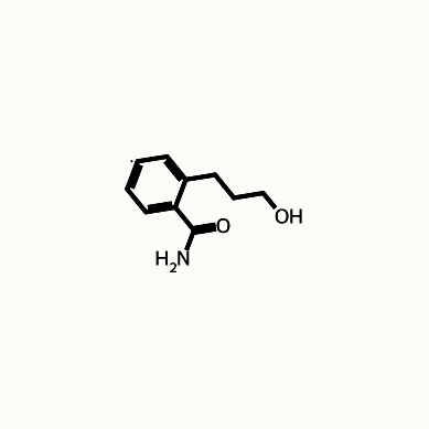 NC(=O)c1cc[c]cc1CCCO